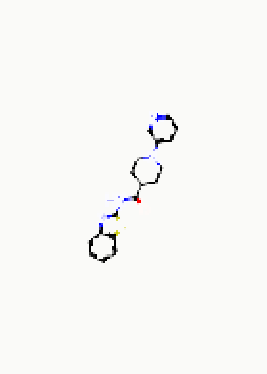 O=C(Nc1nc2ccccc2s1)C1CCN(c2cccnc2)CC1